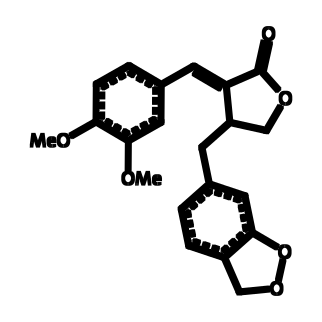 COc1ccc(/C=C2/C(=O)OCC2Cc2ccc3c(c2)OOC3)cc1OC